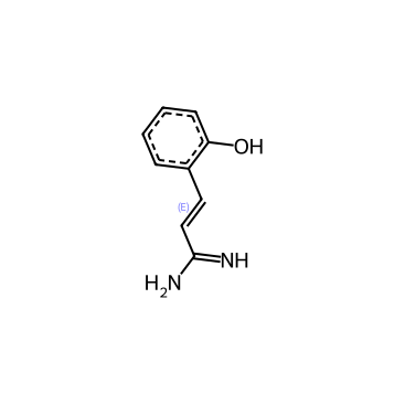 N=C(N)/C=C/c1ccccc1O